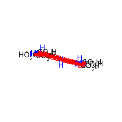 O=C(O)CCC(NC(=O)NC(CCC(=O)NCCOCCOCCOCCOCCOCCOCCOCCOCCNCCOCCOCCOCCOCCOCCOCCOCCOCCNC(=O)CCC(NC(=O)NC(CCC(=O)O)C(=O)O)C(=O)O)C(=O)O)C(=O)O